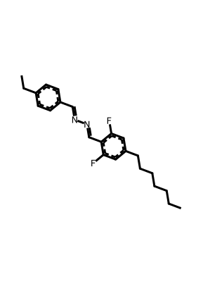 CCCCCCCc1cc(F)c(C=NN=Cc2ccc(CC)cc2)c(F)c1